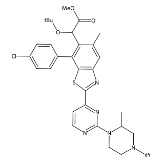 COC(=O)C(OC(C)(C)C)c1c(C)cc2nc(-c3ccnc(N4CCN(C(C)C)CC4C)n3)sc2c1-c1ccc(Cl)cc1